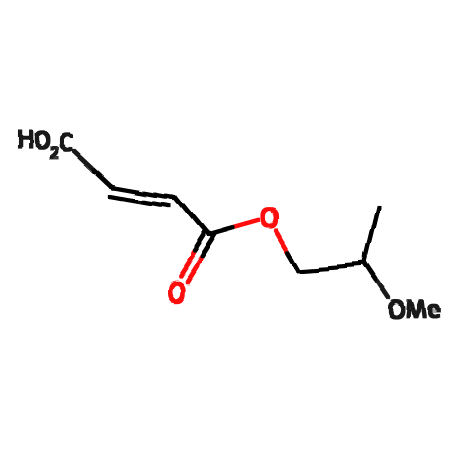 COC(C)COC(=O)C=CC(=O)O